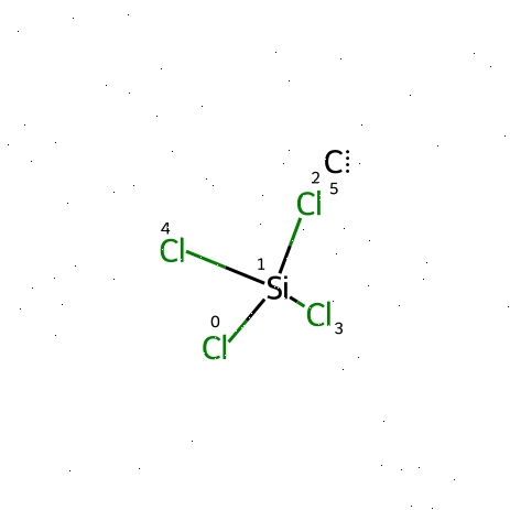 Cl[Si](Cl)(Cl)Cl.[C]